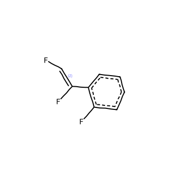 F/C=C(\F)c1ccccc1F